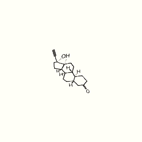 C#C[C@]1(O)CC[C@H]2[C@@H]3CC[C@H]4CC(=O)CC[C@@H]4[C@H]3CC[C@@]21C